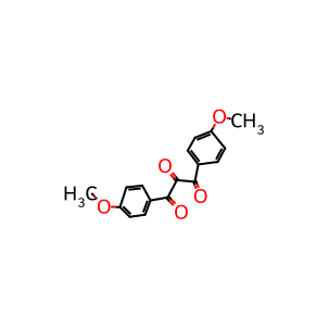 COc1ccc(C(=O)C(=O)C(=O)c2ccc(OC)cc2)cc1